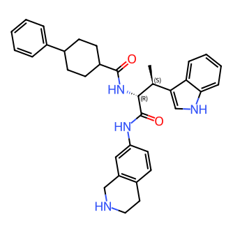 C[C@@H](c1c[nH]c2ccccc12)[C@@H](NC(=O)C1CCC(c2ccccc2)CC1)C(=O)Nc1ccc2c(c1)CNCC2